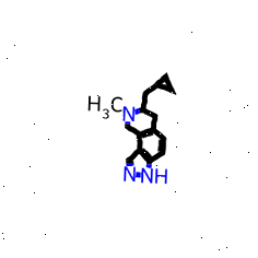 CN1Cc2c(ccc3[nH]ncc23)CC1CC1CC1